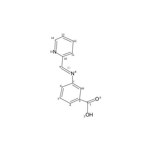 O=C(O)c1cccc(/N=C/c2ccccn2)c1